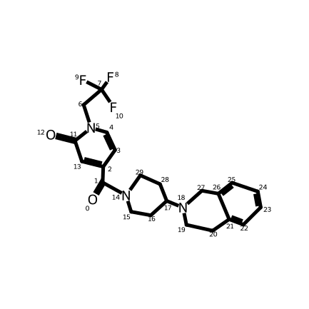 O=C(c1ccn(CC(F)(F)F)c(=O)c1)N1CCC(N2CCc3ccccc3C2)CC1